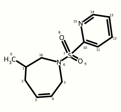 CC1CC=CCN(S(=O)(=O)c2ccccn2)C1